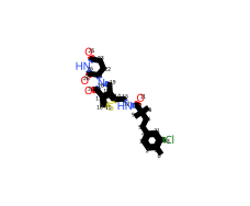 Cc1ccc(CCC(C)(C)C(=O)NCc2scc3c2CN(C2CCC(=O)NC2=O)C3=O)cc1Cl